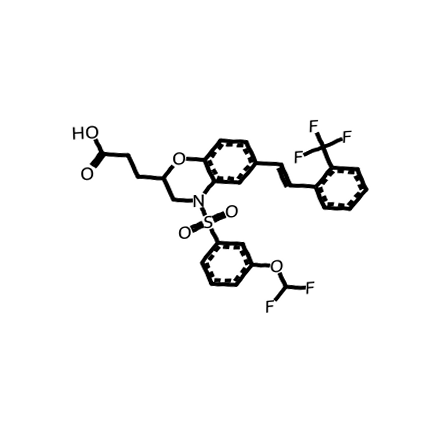 O=C(O)CCC1CN(S(=O)(=O)c2cccc(OC(F)F)c2)c2cc(C=Cc3ccccc3C(F)(F)F)ccc2O1